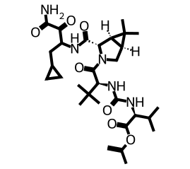 C=C(C)OC(=O)[C@@H](NC(=O)N[C@H](C(=O)N1C[C@H]2[C@@H]([C@H]1C(=O)NC(CC1CC1)C(=O)C(N)=O)C2(C)C)C(C)(C)C)C(C)C